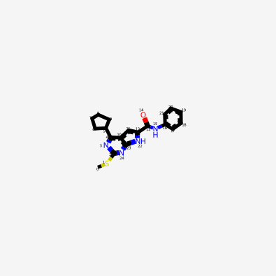 CSc1nc(C2CCCC2)c2cc(C(=O)Nc3ccccc3)[nH]c2n1